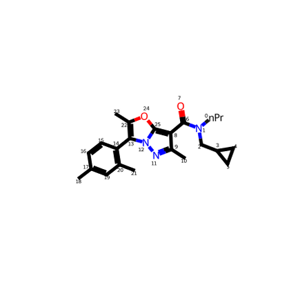 CCCN(CC1CC1)C(=O)c1c(C)nn2c(-c3ccc(C)cc3C)c(C)oc12